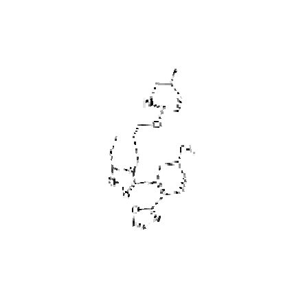 Cc1ccc(-c2ncco2)c(C(=O)N2CC(COc3ccc(F)cn3)CCC2C)c1